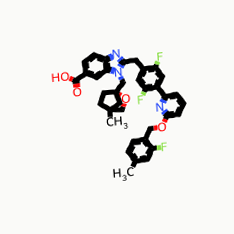 Cc1ccc(COc2cccc(-c3cc(F)c(Cc4nc5ccc(C(=O)O)cc5n4CC45CCC(C)(CO4)C5)cc3F)n2)c(F)c1